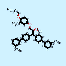 CCOC(COc1ccc(OCC(=O)O)c(C)c1)=C(c1ccc(-c2cccc(SC)c2)cc1)c1ccc(-c2cccc(SC)c2)cc1